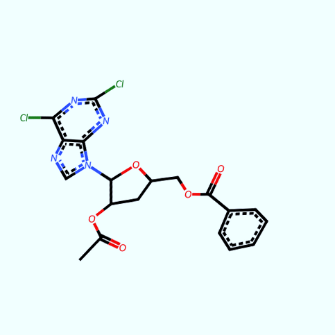 CC(=O)OC1CC(COC(=O)c2ccccc2)OC1n1cnc2c(Cl)nc(Cl)nc21